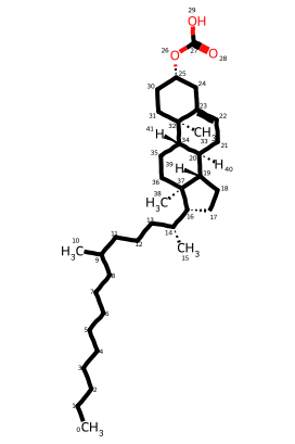 CCCCCCCCCC(C)CCC[C@@H](C)[C@H]1CC[C@H]2[C@@H]3CC=C4C[C@@H](OC(=O)O)CC[C@]4(C)[C@H]3CC[C@]12C